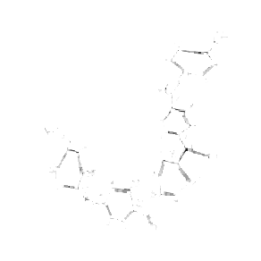 O=C(c1ccc(Oc2ccc(O)cc2)cc1)c1ccc(C(=O)c2ccc(Oc3ccc(O)cc3)cc2)cc1